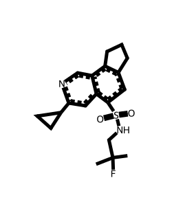 CC(C)(F)CNS(=O)(=O)c1cc2c(c3cnc(C4CC4)cc13)CCC2